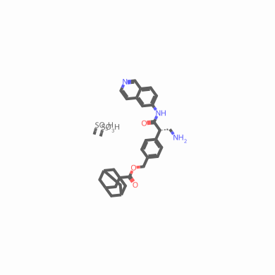 CS(=O)(=O)O.CS(=O)(=O)O.NC[C@@H](C(=O)Nc1ccc2cnccc2c1)c1ccc(COC(=O)C23CC4CC(CC(C4)C2)C3)cc1